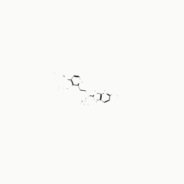 COc1ccc2[nH]c([S@@+]([O-])CCc3nccc(OC)c3OC)nc2n1.[Na]